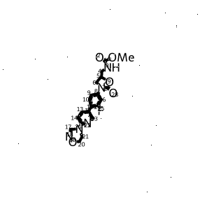 COC(=O)NCC1CN(c2ccc(-c3ccc(N4C=NOCC4)nc3)c(F)c2)C(=O)O1